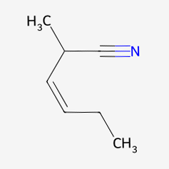 CC/C=C\C(C)C#N